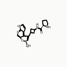 O=C(NC1CC(C2=CB(O)Oc3cnc4[nH]ccc4c32)C1)[C@H]1CCCN1